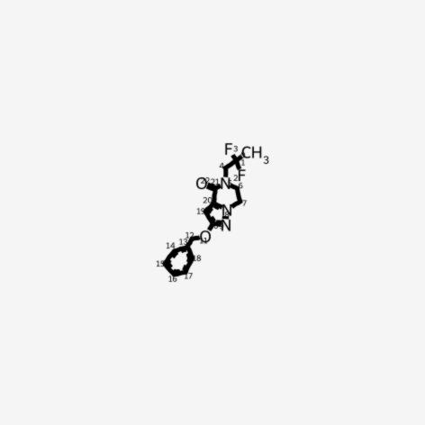 CC(F)(F)CN1CCn2nc(OCc3ccccc3)cc2C1=O